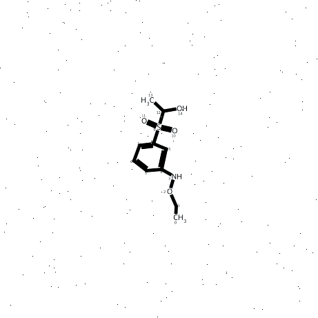 CCONc1cccc(S(=O)(=O)C(C)O)c1